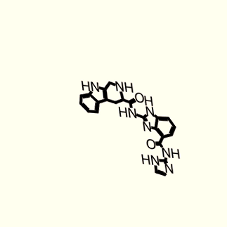 O=C(Nc1ncc[nH]1)c1cccc2[nH]c(NC(=O)C3Cc4c([nH]c5ccccc45)CN3)nc12